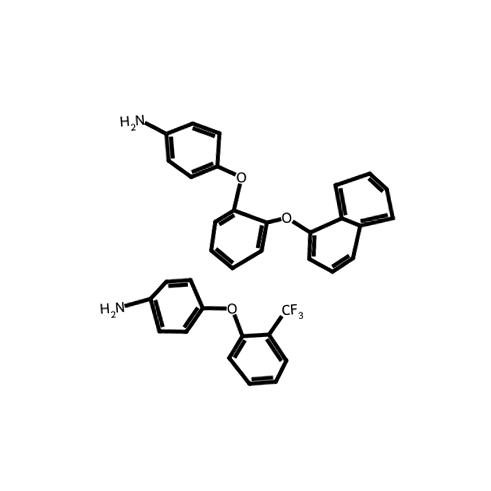 Nc1ccc(Oc2ccccc2C(F)(F)F)cc1.Nc1ccc(Oc2ccccc2Oc2cccc3ccccc23)cc1